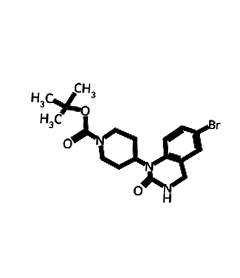 CC(C)(C)OC(=O)N1CCC(N2C(=O)NCc3cc(Br)ccc32)CC1